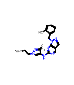 COCCn1cc(Nc2ncc3cnn(Cc4ccccc4C#N)c3n2)c(C)n1